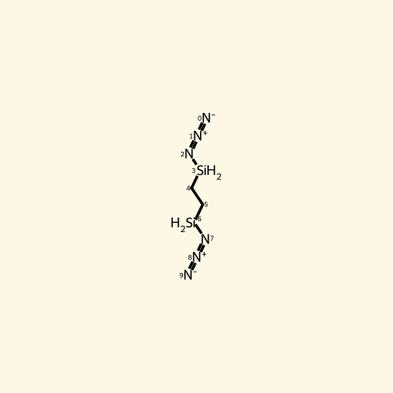 [N-]=[N+]=N[SiH2]CC[SiH2]N=[N+]=[N-]